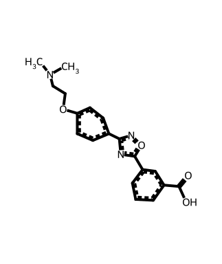 CN(C)CCOc1ccc(-c2noc(-c3cccc(C(=O)O)c3)n2)cc1